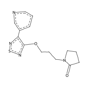 O=C1CCCN1CCCOc1nsnc1-c1cccnc1